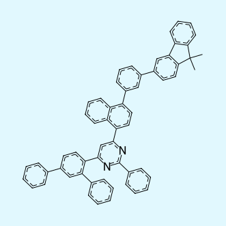 CC1(C)c2ccccc2-c2cc(-c3cccc(-c4ccc(-c5cc(-c6ccc(-c7ccccc7)cc6-c6ccccc6)nc(-c6ccccc6)n5)c5ccccc45)c3)ccc21